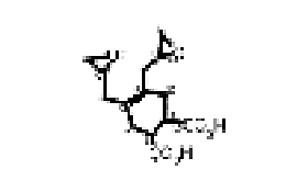 O=C(O)C1CC(CC2CO2)=C(CC2CO2)CC1C(=O)O